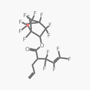 C=CCC(C(=O)OC1C(F)(F)C2(F)C(F)(F)C(F)(F)C1(F)C2(F)F)C(F)(F)C(F)=C(F)F